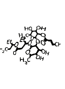 CC=CC(=O)OC1C(OC2C(OC(CC)CC(=O)OC(CC)CC(=O)O)OC(C)C(O)C2O)OC(C)C(O)C1O